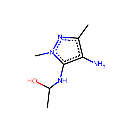 Cc1nn(C)c(NC(C)O)c1N